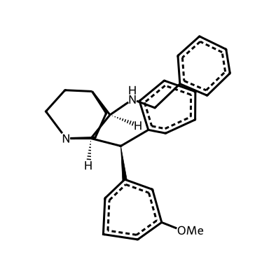 COc1cccc([C@H](c2ccccc2)[C@@H]2[C@H](NCc3ccccc3)C3CCN2CC3)c1